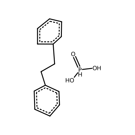 O=[PH](O)O.c1ccc(CCc2ccccc2)cc1